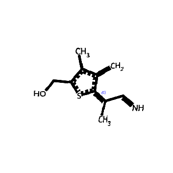 C=c1c(C)c(CO)s/c1=C(\C)C=N